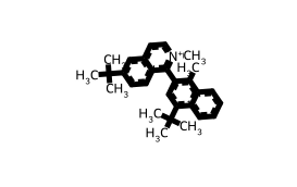 Cc1c(-c2c3ccc(C(C)(C)C)cc3cc[n+]2C)cc(C(C)(C)C)c2ccccc12